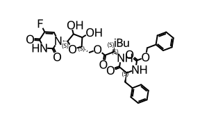 CC[C@H](C)[C@H](NC(=O)[C@H](Cc1ccccc1)NC(=O)OCc1ccccc1)C(=O)OC[C@@H]1O[C@H](n2cc(F)c(=O)[nH]c2=O)C(O)C1O